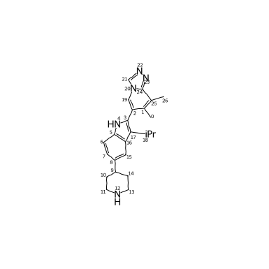 Cc1c(-c2[nH]c3ccc(C4CCNCC4)cc3c2C(C)C)cn2cnnc2c1C